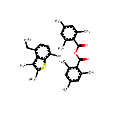 COCc1ccc(C(C)=O)c2sc(C(=O)O)c(C)c12.Cc1cc(C)c(C(=O)OC(=O)c2c(C)cc(C)cc2C)c(C)c1